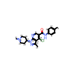 Cc1ccc(NC(=O)c2cnc3c(c(C)nn3C3CCN(C)CC3)c2Cl)cc1